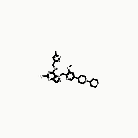 COc1cc(C2CCN(C3CCOCC3)CC2)cnc1Cn1ncc2nc(N)nc(NCc3cc(C)on3)c21